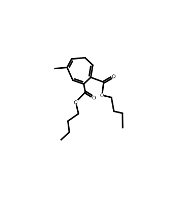 CCCCOC(=O)C1=CCC=C(C)C=C1C(=O)OCCCC